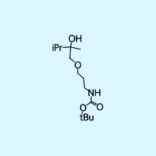 CC(C)C(C)(O)COCCCNC(=O)OC(C)(C)C